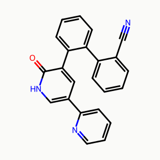 N#Cc1ccccc1-c1ccccc1-c1cc(-c2ccccn2)c[nH]c1=O